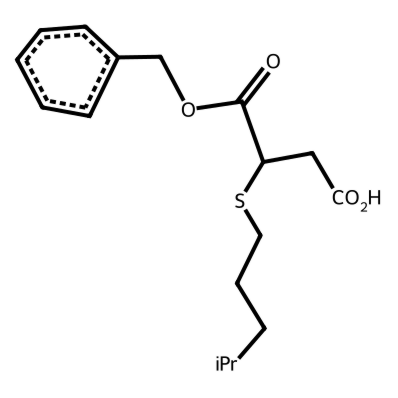 CC(C)CCCSC(CC(=O)O)C(=O)OCc1ccccc1